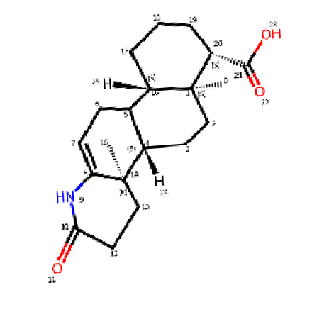 C[C@]12CC[C@H]3C(CC=C4NC(=O)CC[C@@]43C)[C@@H]1CCC[C@@H]2C(=O)O